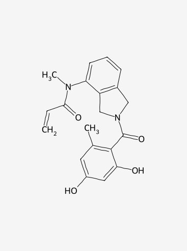 C=CC(=O)N(C)c1cccc2c1CN(C(=O)c1c(C)cc(O)cc1O)C2